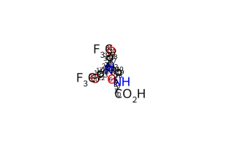 O=C(O)CCCNC(=O)c1cccc(Cn2nc(-c3ccc(OC(F)(F)F)cc3)cc2-c2ccc(OC(F)(F)F)cc2)c1